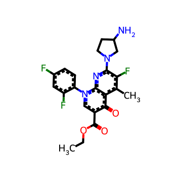 CCOC(=O)c1cn(-c2ccc(F)cc2F)c2nc(N3CCC(N)C3)c(F)c(C)c2c1=O